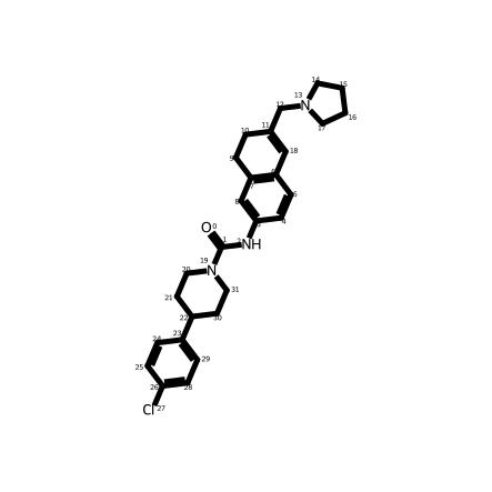 O=C(Nc1ccc2c(c1)CCC(CN1CCCC1)=C2)N1CCC(c2ccc(Cl)cc2)CC1